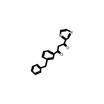 O=C(CC(=O)c1cnccn1)c1cccc(Cc2ccccc2)c1